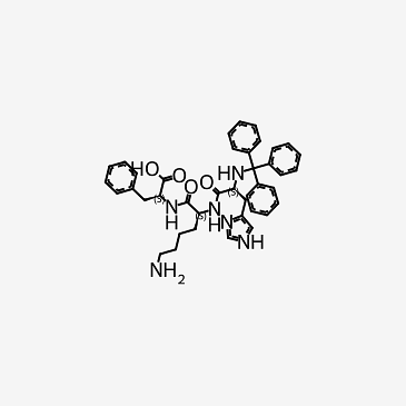 NCCCC[C@H](NC(=O)[C@H](Cc1c[nH]cn1)NC(c1ccccc1)(c1ccccc1)c1ccccc1)C(=O)N[C@@H](Cc1ccccc1)C(=O)O